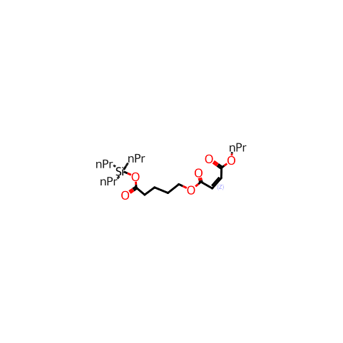 CCCOC(=O)/C=C\C(=O)OCCCCC(=O)O[Si](CCC)(CCC)CCC